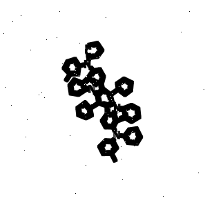 Cc1cccc(N(c2ccccc2)c2ccc3c4c(-c5ccccc5)c5c(c(-c6ccccc6)c4n4c6ccccc6c2c34)c2ccc(N(c3ccccc3)c3cccc(C)c3)c3c4ccccc4n5c23)c1